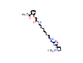 COC(=O)c1ccccc1OCC(=O)NCCCCCCCCCNCc1noc([C@H]2CCCN2C(=O)O)n1